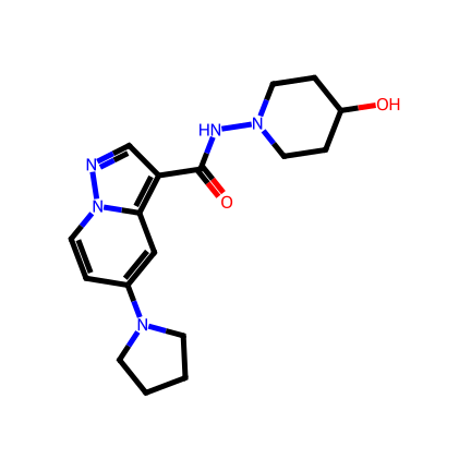 O=C(NN1CCC(O)CC1)c1cnn2ccc(N3CCCC3)cc12